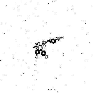 COc1ccc2c(c1)C(c1ccc(Cl)cc1)=N[C@@H](CC(=O)NCCc1cc3ccc([Si](C)(C)O)cc3s1)c1nnc(C)n1-2